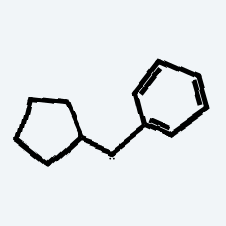 [C](c1ccccc1)C1CCCC1